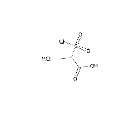 CC(C(=O)O)S(=O)(=O)Cl.Cl